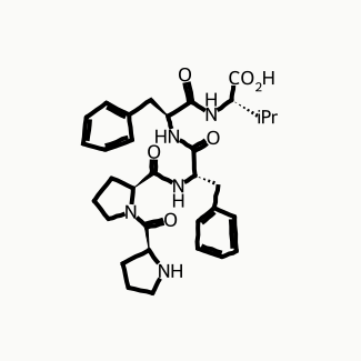 CC(C)[C@H](NC(=O)[C@H](Cc1ccccc1)NC(=O)[C@H](Cc1ccccc1)NC(=O)[C@@H]1CCCN1C(=O)[C@@H]1CCCN1)C(=O)O